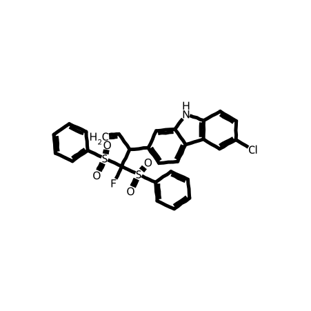 C=CC(c1ccc2c(c1)[nH]c1ccc(Cl)cc12)C(F)(S(=O)(=O)c1ccccc1)S(=O)(=O)c1ccccc1